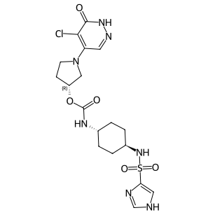 O=C(N[C@H]1CC[C@H](NS(=O)(=O)c2c[nH]cn2)CC1)O[C@@H]1CCN(c2cn[nH]c(=O)c2Cl)C1